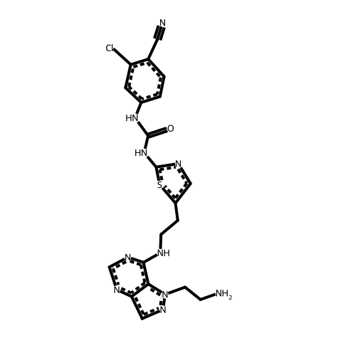 N#Cc1ccc(NC(=O)Nc2ncc(CCNc3ncnc4cnn(CCN)c34)s2)cc1Cl